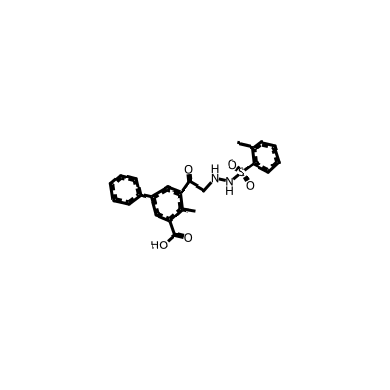 Cc1ccccc1S(=O)(=O)NNCC(=O)c1cc(-c2ccccc2)cc(C(=O)O)c1C